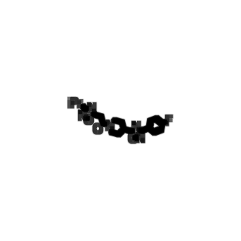 CC(C)c1noc(CC(=O)N2CCC(c3nc(-c4ccc(F)cc4)no3)CC2)n1